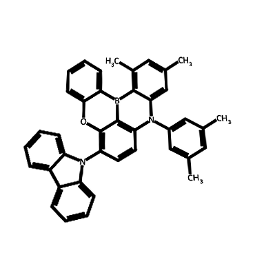 Cc1cc(C)cc(N2c3cc(C)cc(C)c3B3c4ccccc4Oc4c(-n5c6ccccc6c6ccccc65)ccc2c43)c1